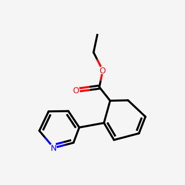 CCOC(=O)C1CC=CC=C1c1cccnc1